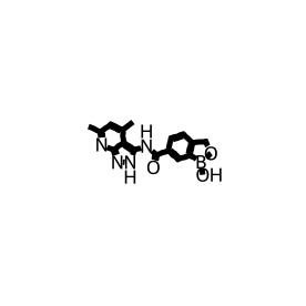 Cc1cc(C)c2c(NC(=O)c3ccc4c(c3)B(O)OC4)[nH]nc2n1